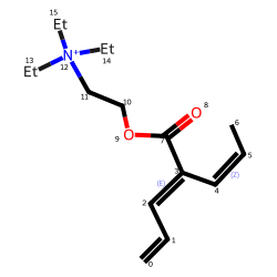 C=C/C=C(\C=C/C)C(=O)OCC[N+](CC)(CC)CC